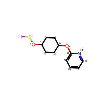 ISOC1CCC(Oc2ccccn2)CC1